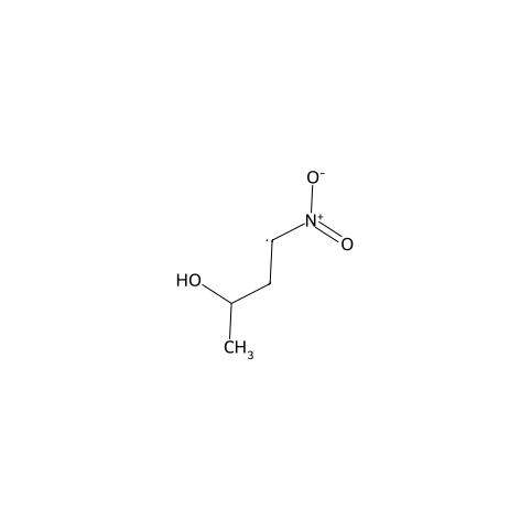 CC(O)C[CH][N+](=O)[O-]